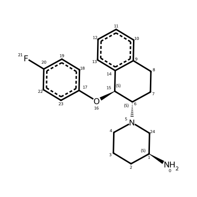 N[C@H]1CCCN([C@H]2CCc3ccccc3[C@@H]2Oc2ccc(F)cc2)C1